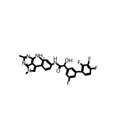 Cc1nc(N)c2c(-c3ccc(NC(=O)C(O)c4cc(F)cc(-c5ccc(F)c(F)c5F)c4)cc3C)cn(C)c2n1